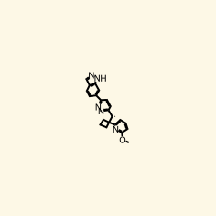 COc1cccc(C2([CH]c3ccc(-c4ccc5cn[nH]c5c4)nn3)CCC2)n1